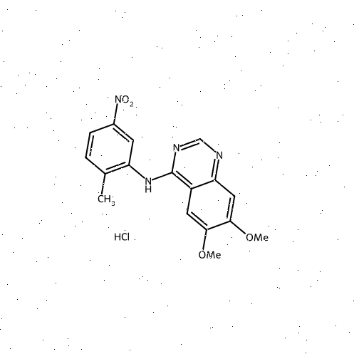 COc1cc2ncnc(Nc3cc([N+](=O)[O-])ccc3C)c2cc1OC.Cl